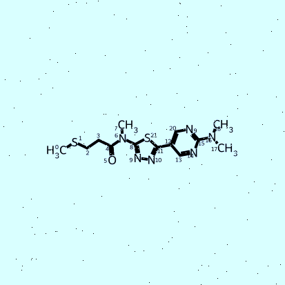 CSCCC(=O)N(C)c1nnc(-c2cnc(N(C)C)nc2)s1